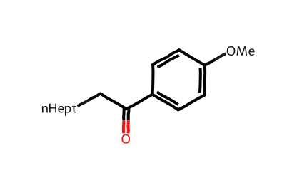 CCCCCCCCC(=O)c1ccc(OC)cc1